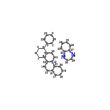 c1ccc(C2CCCc3c2ccc2c3ccc3ccccc32)cc1.c1ccc2nccnc2c1